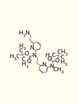 CN(C(=O)OC(C)(C)C)c1cccc(CCN(C(=O)OC(C)(C)C)c2cccc(CCN)n2)n1